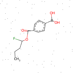 CCCC(F)OC(=O)c1ccc(B(O)O)cc1